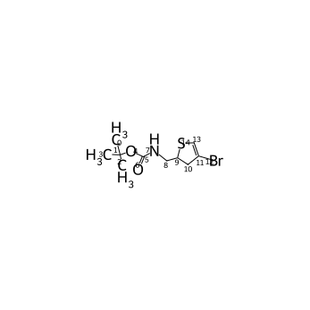 CC(C)(C)OC(=O)NCC1CC(Br)=CS1